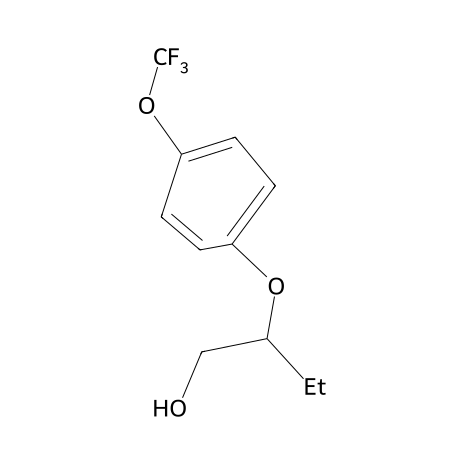 CCC(CO)Oc1ccc(OC(F)(F)F)cc1